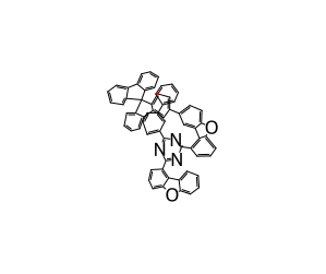 c1ccc(-c2cccc(-c3nc(-c4cccc5oc6ccccc6c45)nc(-c4cccc5oc6ccc(-c7ccc8c(c7)-c7ccccc7C87c8ccccc8-c8ccccc87)cc6c45)n3)c2)cc1